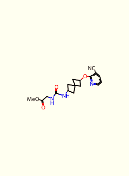 COC(=O)CNC(=O)N[C@H]1CC2(C1)C[C@H](Oc1ncccc1C#N)C2